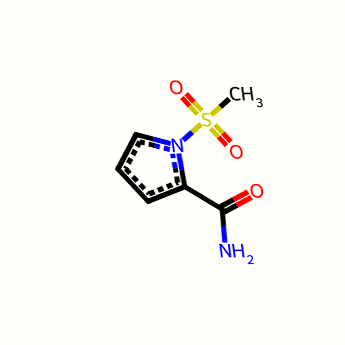 CS(=O)(=O)n1cccc1C(N)=O